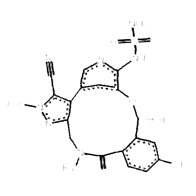 Cc1ccc2c(c1)[C@@H](C)Oc1cc(cnc1NS(N)(=O)=O)-c1c(nn(C)c1C#N)CN(C)C2=O